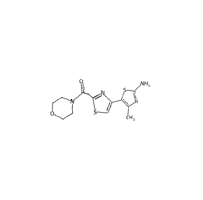 Cc1nc(N)sc1-c1csc(C(=O)N2CCOCC2)n1